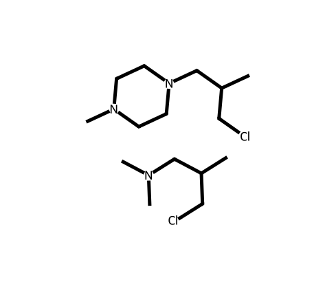 CC(CCl)CN(C)C.CC(CCl)CN1CCN(C)CC1